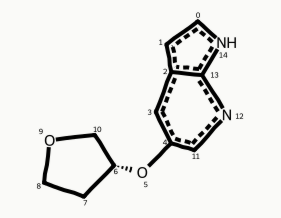 c1cc2cc(O[C@@H]3CCOC3)cnc2[nH]1